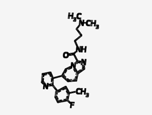 Cc1cc(-c2ncccc2-c2ccc3cnc(C(=O)NCCCN(C)C)n3c2)ccc1F